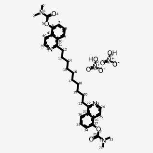 CN(C)C(=O)Oc1cccc2c(CCCCCCCCCCc3nccc4c(OC(=O)N(C)C)cccc34)nccc12.O=[N+]([O-])O.O=[N+]([O-])O